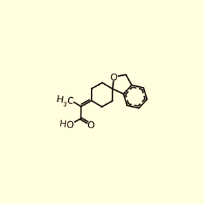 CC(C(=O)O)=C1CCC2(CC1)OCc1ccccc12